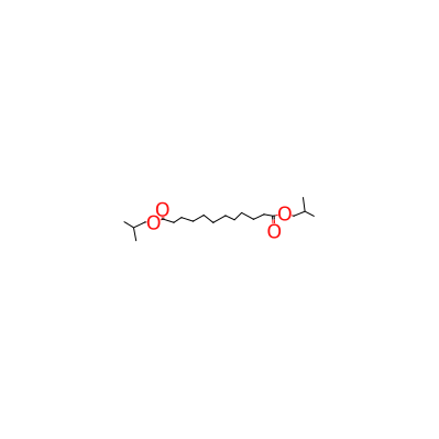 CC(C)COC(=O)CCCCCCCCCCC(=O)OCC(C)C